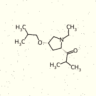 CCN1C[C@@H](OCC(C)C)C[C@H]1C(=O)C(C)C